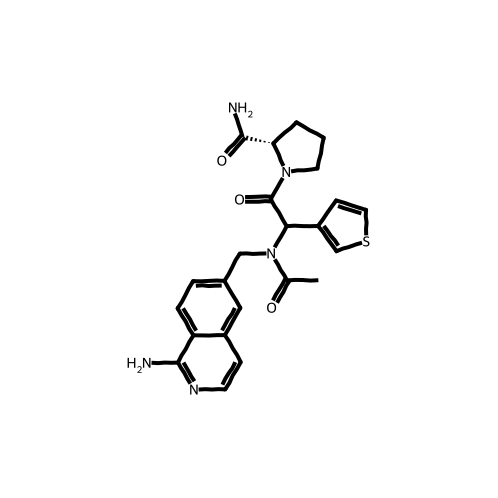 CC(=O)N(Cc1ccc2c(N)nccc2c1)C(C(=O)N1CCC[C@H]1C(N)=O)c1ccsc1